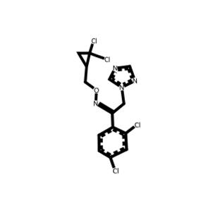 Clc1ccc(C(Cn2cncn2)=NOCC2CC2(Cl)Cl)c(Cl)c1